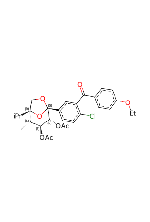 CCOc1ccc(C(=O)c2cc([C@]34OC[C@](C(C)C)(O3)[C@@H](C)[C@H](OC(C)=O)[C@H]4OC(C)=O)ccc2Cl)cc1